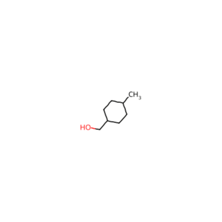 CC1CCC(CO)CC1